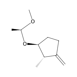 C=C1CC[C@H](O[C@@H](C)OC)[C@H]1C